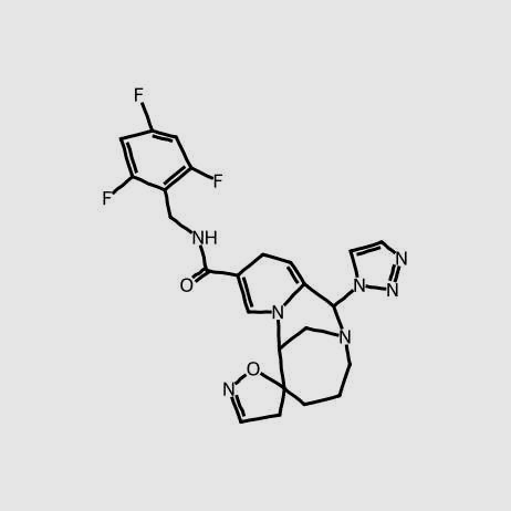 O=C(NCc1c(F)cc(F)cc1F)C1=CN2C(=CC1)C(n1ccnn1)N1CCCC3(CC=NO3)C2C1